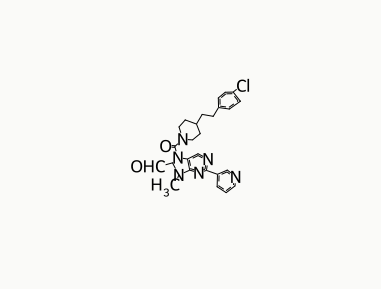 CN1c2nc(-c3cccnc3)ncc2N(C(=O)N2CCC(CCc3ccc(Cl)cc3)CC2)C1C=O